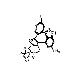 [2H]C([2H])([2H])[C@@]1(C(F)(F)F)Cn2nc(-c3ccc(F)cn3)c(-c3cc(C)nc4[nH]nc(C)c34)c2CO1